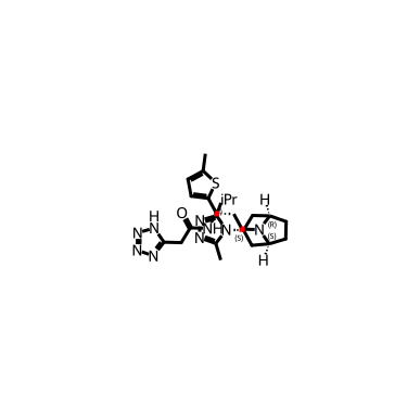 Cc1ccc([C@H](CCN2[C@@H]3CC[C@H]2C[C@H](n2c(C)nnc2C(C)C)C3)NC(=O)Cc2nnn[nH]2)s1